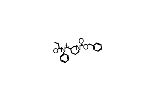 CCC(=O)N(c1ccccc1)[C@@H](C)C1CCCN(C(=O)OCc2ccccc2)C1